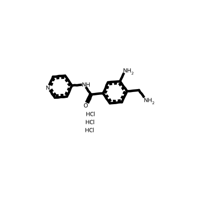 Cl.Cl.Cl.NCc1ccc(C(=O)Nc2ccncc2)cc1N